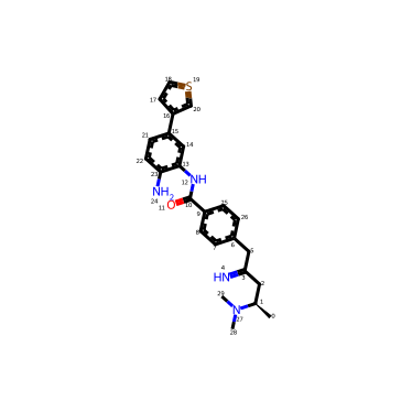 C[C@H](CC(=N)Cc1ccc(C(=O)Nc2cc(-c3ccsc3)ccc2N)cc1)N(C)C